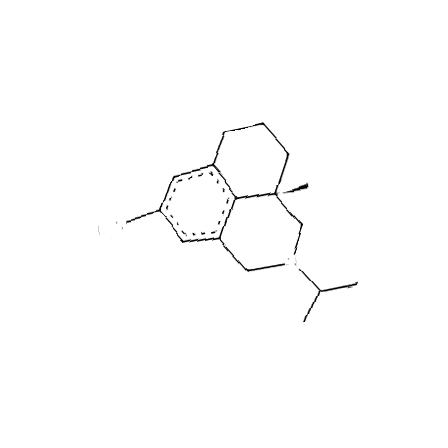 CC(C)N1Cc2cc(N)cc3c2[C@H](CCC3)C1